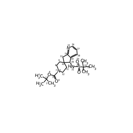 CC(C)(C)OC(=O)N1CCC2(CC1)Cc1ncccc1[C@H]2NS(=O)(=O)C(C)(C)C